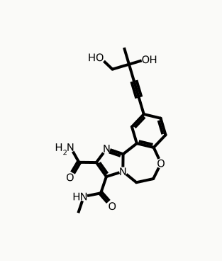 CNC(=O)c1c(C(N)=O)nc2n1CCOc1ccc(C#CC(C)(O)CO)cc1-2